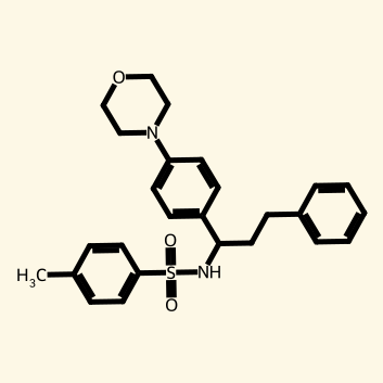 Cc1ccc(S(=O)(=O)NC(CCc2ccccc2)c2ccc(N3CCOCC3)cc2)cc1